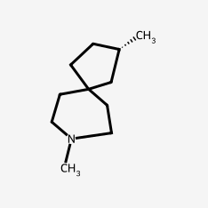 C[C@H]1CCC2(CCN(C)CC2)C1